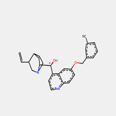 C=CC1CN2CCC1CC2[C@@H](O)c1ccnc2ccc(OCc3cccc(C#N)c3)cc12